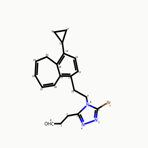 O=CCCc1nnc(Br)n1CCc1ccc(C2CC2)c2c1C=CC=CC2